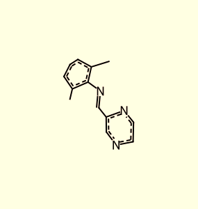 Cc1cccc(C)c1N=Cc1cnccn1